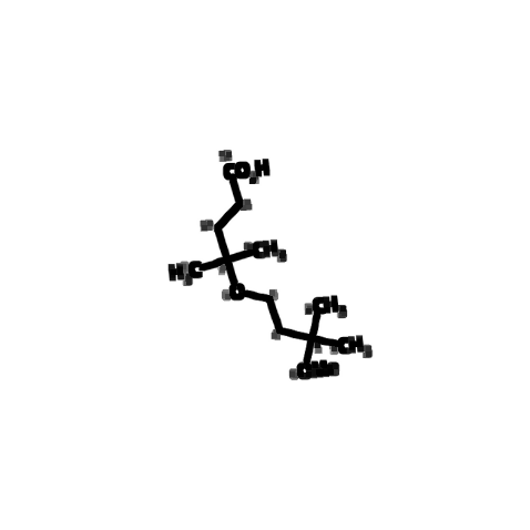 COC(C)(C)CCOC(C)(C)CCC(=O)O